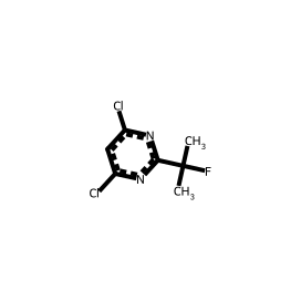 CC(C)(F)c1nc(Cl)cc(Cl)n1